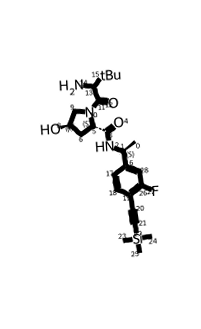 C[C@H](NC(=O)[C@@H]1C[C@@H](O)CN1C(=O)C(N)C(C)(C)C)c1ccc(C#C[Si](C)(C)C)c(F)c1